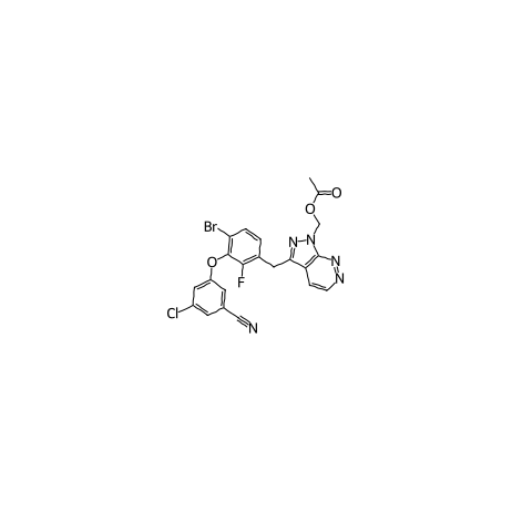 CC(=O)OCn1nc(Cc2ccc(Br)c(Oc3cc(Cl)cc(C#N)c3)c2F)c2ccnnc21